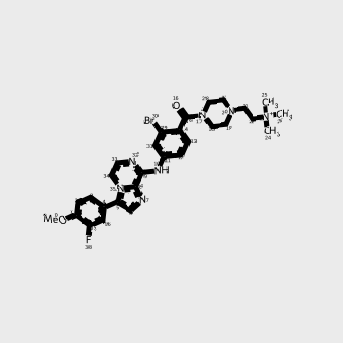 COc1ccc(-c2cnc3c(Nc4ccc(C(=O)N5CCN(CC[N+](C)(C)C)CC5)c(Br)c4)nccn23)cc1F